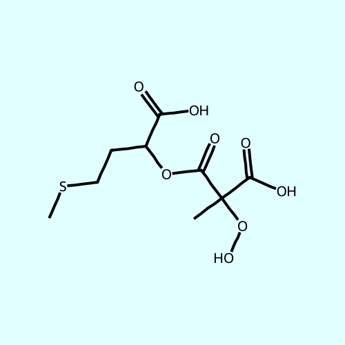 CSCCC(OC(=O)C(C)(OO)C(=O)O)C(=O)O